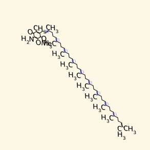 COC1=C(N)C(=O)C(C)=C(C/C=C(\C)CC/C=C(\C)CC/C=C(\C)CC/C=C(\C)CC/C=C(\C)CC/C=C(\C)CC/C=C(\C)CC/C=C(\C)CC/C=C(\C)CCC=C(C)C)C1=O